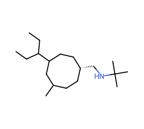 CCC(CC)C1CC[C@H](CNC(C)(C)C)CCC(C)C1